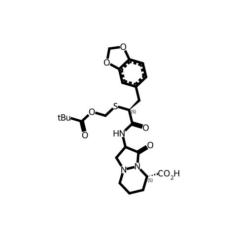 CC(C)(C)C(=O)OCS[C@@H](Cc1ccc2c(c1)OCO2)C(=O)NC1CN2CCC[C@@H](C(=O)O)N2C1=O